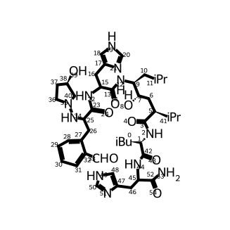 CC[C@H](C)[C@H](NC(=O)[C@@H](C[C@H](O)[C@H](CC(C)C)NC(=O)C(Cc1c[nH]cn1)NC(=O)C(Cc1ccccc1C=O)NN1CC[C@@H](O)C1)C(C)C)C(=O)NC(Cc1c[nH]cn1)C(N)=O